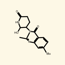 Cc1nc2cc(C(C)(C)C)ccc2c(=O)n1C1CCC(=O)NC1O